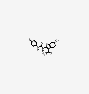 NC(=O)c1c(NC(=O)Nc2ccc(I)cc2)sc2c1CCC(O)C2